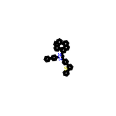 c1ccc(-c2ccc(-c3nc(-c4ccc(-c5cccc6c5sc5ccccc56)cc4)cc(-c4cc5ccc6cccc7c8cccc9ccc%10cccc(c(c4)c5c67)c%10c98)n3)cc2)cc1